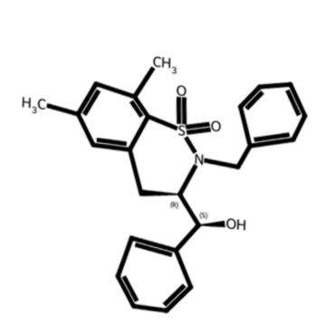 Cc1cc(C)c2c(c1)C[C@H]([C@@H](O)c1ccccc1)N(Cc1ccccc1)S2(=O)=O